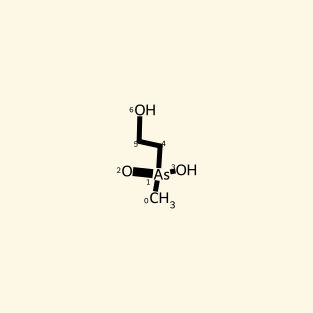 C[As](=O)(O)CCO